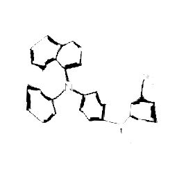 CN(c1ccc(N(c2ccccc2)c2cccc3ccccc23)cc1)c1cccc(N)c1